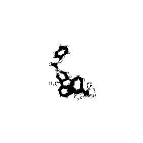 C[C@]1(c2ccccc2)CN(C(=O)Oc2ccccc2)C[C@H]1c1ccc(C(O)(C(F)(F)F)C(F)(F)F)cc1